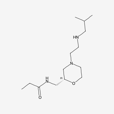 CCC(=O)NC[C@@H]1CN(CCNCC(C)C)CCO1